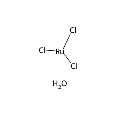 O.[Cl][Ru]([Cl])[Cl]